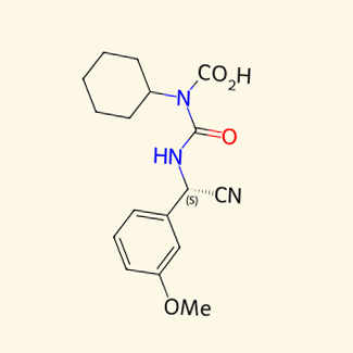 COc1cccc([C@@H](C#N)NC(=O)N(C(=O)O)C2CCCCC2)c1